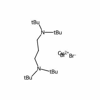 CC(C)(C)N(CCCN(C(C)(C)C)C(C)(C)C)C(C)(C)C.[Br-].[Br-].[Cu+2]